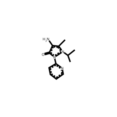 Cc1c(N)c(=O)n(-c2ccccn2)n1C(C)C